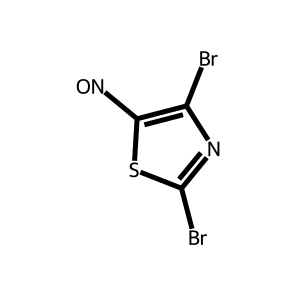 O=Nc1sc(Br)nc1Br